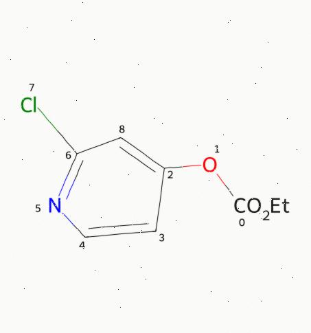 CCOC(=O)Oc1ccnc(Cl)c1